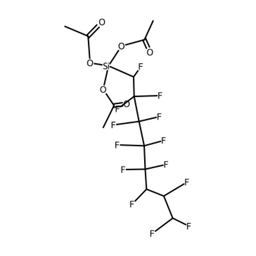 CC(=O)O[Si](OC(C)=O)(OC(C)=O)C(F)C(F)(F)C(F)(F)C(F)(F)C(F)(F)C(F)C(F)C(F)F